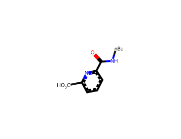 CCCCNC(=O)c1cccc(C(=O)O)n1